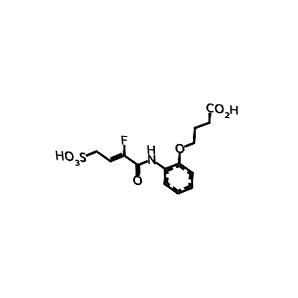 O=C(O)CCCOc1ccccc1NC(=O)C(F)=CCS(=O)(=O)O